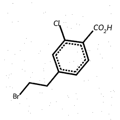 O=C(O)c1ccc(CCBr)cc1Cl